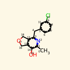 Cc1nc(Cc2cccc(Cl)c2)c2c(c1O)COC2